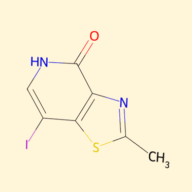 Cc1nc2c(=O)[nH]cc(I)c2s1